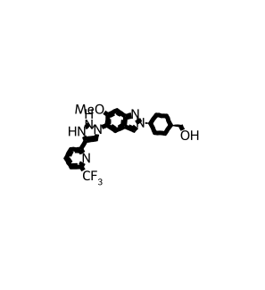 COc1cc2nn([C@H]3CC[C@H](CO)CC3)cc2cc1N1C=C(c2cccc(C(F)(F)F)n2)NN1